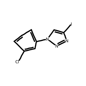 Clc1cccc(-n2cc(I)nn2)c1